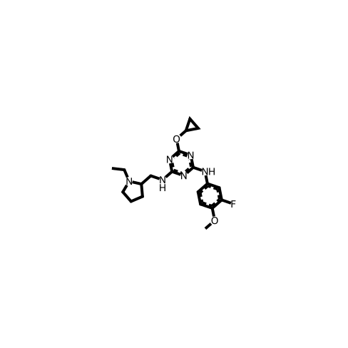 CCN1CCCC1CNc1nc(Nc2ccc(OC)c(F)c2)nc(OC2CC2)n1